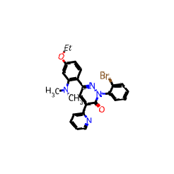 CCOc1ccc(-c2cc(-c3ccccn3)c(=O)n(-c3ccccc3Br)n2)c(N(C)C)c1